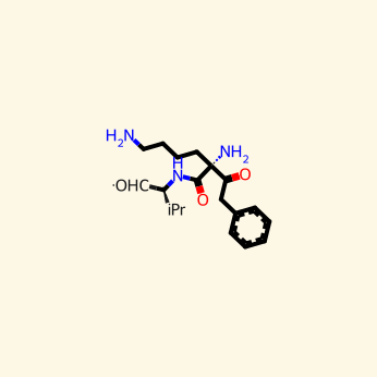 CC(C)[C@@H]([C]=O)NC(=O)[C@@](N)(CCCCN)C(=O)Cc1ccccc1